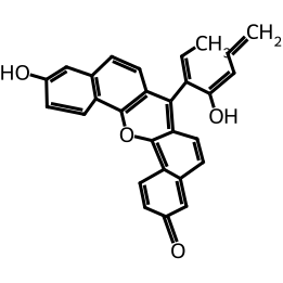 C=C/C=C(O)\C(=C/C)c1c2ccc3cc(O)ccc3c2oc2c1ccc1cc(=O)ccc12